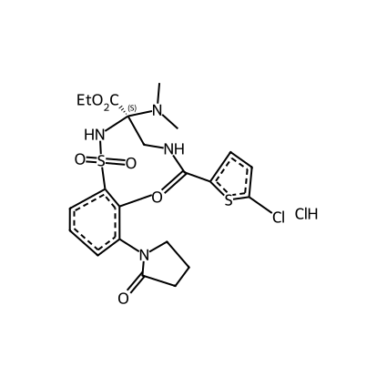 CCOC(=O)[C@](CNC(=O)c1ccc(Cl)s1)(NS(=O)(=O)c1cccc(N2CCCC2=O)c1C)N(C)C.Cl